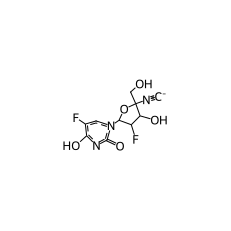 [C-]#[N+]C1(CO)OC(n2cc(F)c(O)nc2=O)C(F)C1O